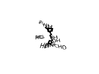 CC(C)CNCc1cccc(CCNC[C@H](O)c2ccc(O)c3c2SC(C=O)N3)c1.Cl.Cl